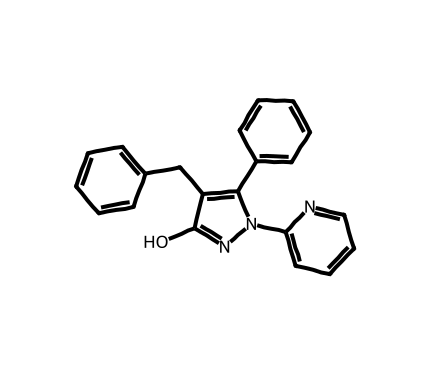 Oc1nn(-c2ccccn2)c(-c2ccccc2)c1Cc1ccccc1